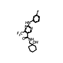 O=C(NCC1(O)CCCCC1)c1cnc(Nc2cccc(F)c2)nc1C(F)(F)F